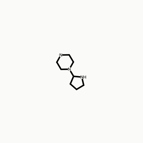 C1CNC(N2CC[N]CC2)C1